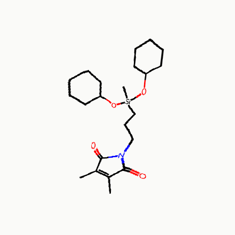 CC1=C(C)C(=O)N(CCC[Si](C)(OC2CCCCC2)OC2CCCCC2)C1=O